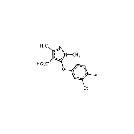 CCc1cc(Oc2c(C(=O)O)c(C)nn2C)ccc1F